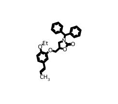 C/C=C/c1ccc(OCC)c(OCC2CN(C(c3ccccc3)c3ccccc3)C(=O)O2)c1